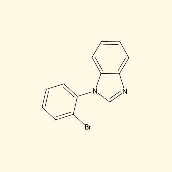 Brc1ccccc1-n1cnc2ccccc21